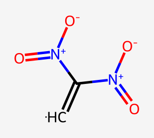 [CH]=C([N+](=O)[O-])[N+](=O)[O-]